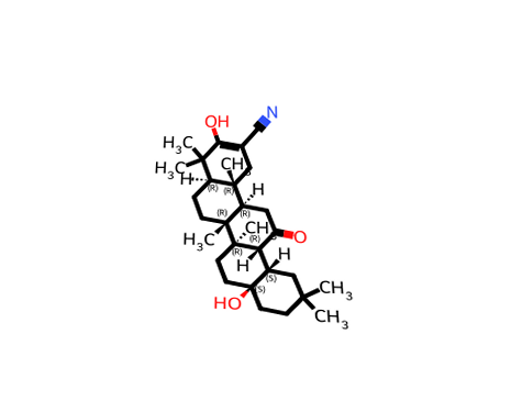 CC1(C)CC[C@]2(O)CC[C@]3(C)[C@H](C(=O)C[C@@H]4[C@@]5(C)CC(C#N)=C(O)C(C)(C)[C@@H]5CC[C@]43C)[C@@H]2C1